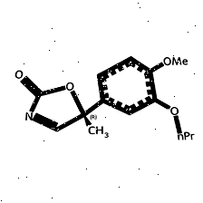 CCCOc1cc([C@]2(C)C=NC(=O)O2)ccc1OC